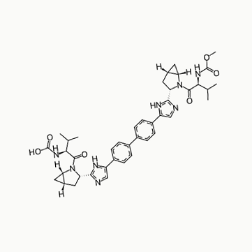 COC(=O)N[C@H](C(=O)N1[C@H](c2ncc(-c3ccc(-c4ccc(-c5cnc([C@@H]6C[C@@H]7C[C@@H]7N6C(=O)[C@@H](NC(=O)O)C(C)C)[nH]5)cc4)cc3)[nH]2)C[C@@H]2C[C@@H]21)C(C)C